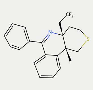 C[C@]12CSCC[C@@]1(CC(F)(F)F)N=C(c1ccccc1)c1ccccc12